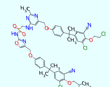 Cc1nc(COc2ccc(C(C)(C)c3cc(Cl)c(OCCCl)c(C#N)c3)cc2)cc(NCS(=O)(=O)Nc2nc(COc3ccc(C(C)(C)c4cc(Cl)c(OCC(C)C)c(C#N)c4)cc3)co2)n1